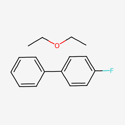 CCOCC.Fc1ccc(-c2ccccc2)cc1